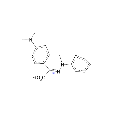 CCOC(=O)/C(=N/N(C)c1ccccc1)c1ccc(N(C)C)cc1